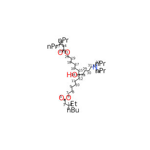 CCCCC(CC)CC(=O)OCCCCCCC(O)(CCCCCCOC(=O)CC(CCC)CCC)CCCCN(CCC)CCC